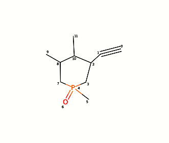 C#CC1CP(C)(=O)CC(C)C1C